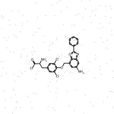 Nc1cc(COc2c(Cl)cc(CC(N)C(=O)Cl)cc2Cl)c2oc(-c3ccccc3)nc2c1